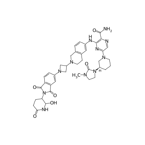 CN1CCN([C@@H]2CCCN(c3cnc(C(N)=O)c(Nc4ccc5c(c4)CCN(C4CN(c6ccc7c(c6)C(=O)N(C6CCC(=O)NC6O)C7=O)C4)C5)n3)C2)C1=O